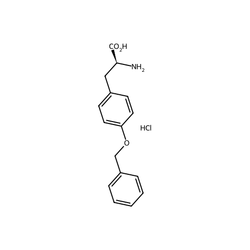 Cl.N[C@@H](Cc1ccc(OCc2ccccc2)cc1)C(=O)O